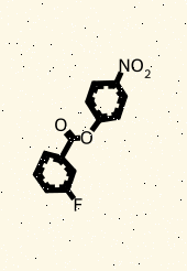 O=C(Oc1ccc([N+](=O)[O-])cc1)c1cccc(F)c1